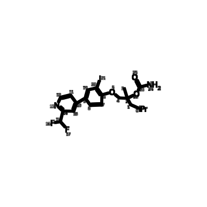 CC(C)CC(C)(COc1ccc(-c2ccnc(C(F)F)c2)cc1I)OC(N)=O